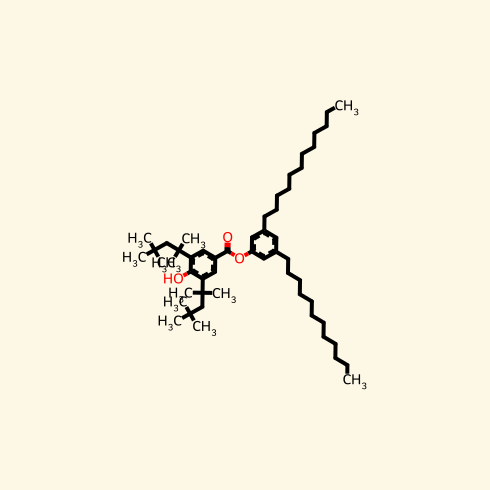 CCCCCCCCCCCCc1cc(CCCCCCCCCCCC)cc(OC(=O)c2cc(C(C)(C)CC(C)(C)C)c(O)c(C(C)(C)CC(C)(C)C)c2)c1